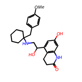 COc1ccc(CC2(NCC(O)c3cc(O)cc4c3CCC(=O)N4)CCCCC2)cc1